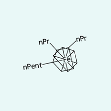 CCCCC[C]12[CH]3[CH]4[C]5(CCC)[C]1(CCC)[Fe]43521678[CH]2[CH]1[CH]6[CH]7[CH]28